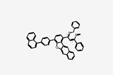 C=N/C(=C\C(=N/Cc1ccccc1)c1ccc(-c2ccc(-c3cccc4ccccc34)cc2)c2oc3cc4ccccc4cc3c12)c1ccccc1